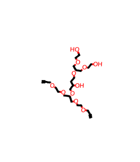 C#CCOCCOCC(COCCOCC#C)OCC(O)CCOC(COCCO)COCCO